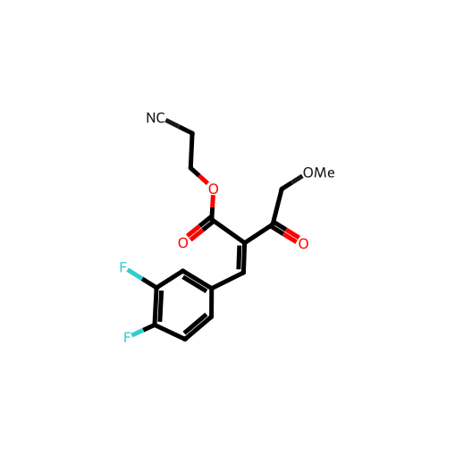 COCC(=O)/C(=C/c1ccc(F)c(F)c1)C(=O)OCCC#N